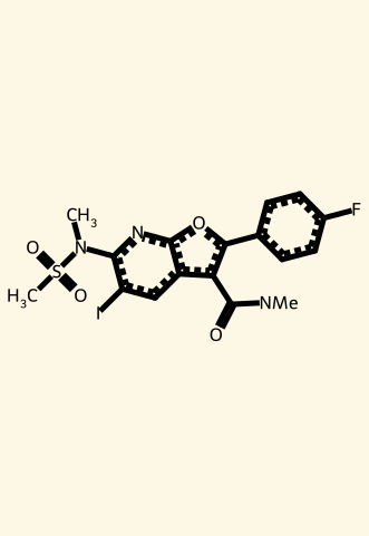 CNC(=O)c1c(-c2ccc(F)cc2)oc2nc(N(C)S(C)(=O)=O)c(I)cc12